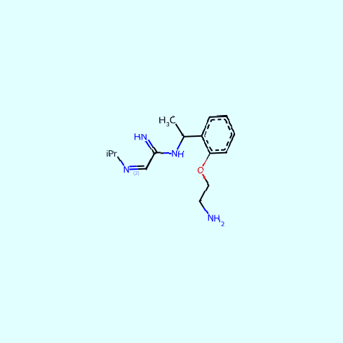 CC(C)/N=C\C(=N)NC(C)c1ccccc1OCCN